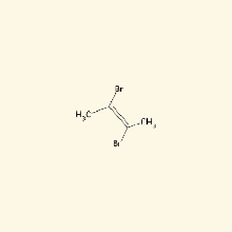 CC(Br)=C(C)Br